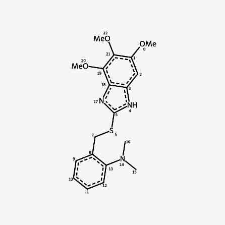 COc1cc2[nH]c(SCc3ccccc3N(C)C)nc2c(OC)c1OC